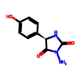 NN1C(=O)N[C@@H](c2ccc(O)cc2)C1=O